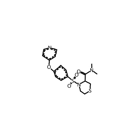 CN(C)C(=O)C1CSCCN1S(=O)(=O)c1ccc(Oc2ccncc2)cc1